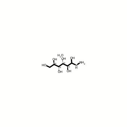 NNC(O)[C@@H](O)[C@@H](O)[C@H](O)[C@H](O)CO.O